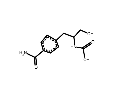 NC(=O)c1ccc(CC(CO)NC(=O)O)cc1